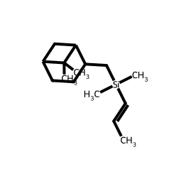 CC=C[Si](C)(C)CC1CCC2CC1C2(C)C